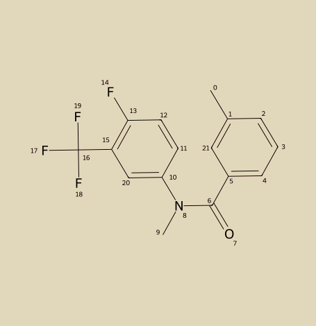 Cc1cccc(C(=O)N(C)c2ccc(F)c(C(F)(F)F)c2)c1